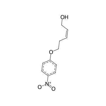 O=[N+]([O-])c1ccc(OCC/C=C\CO)cc1